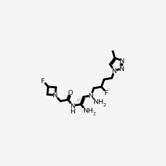 Cc1cn(CCC(F)CN(N)/C=C(\N)NC(=O)CN2CC(F)C2)nn1